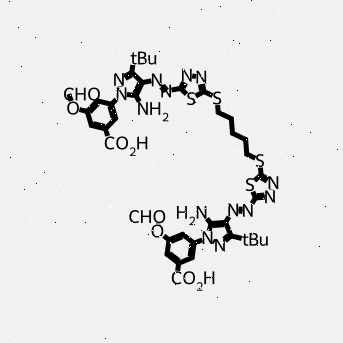 CC(C)(C)c1nn(-c2cc(OC=O)cc(C(=O)O)c2)c(N)c1N=Nc1nnc(SCCCCCSc2nnc(N=Nc3c(C(C)(C)C)nn(-c4cc(OC=O)cc(C(=O)O)c4)c3N)s2)s1